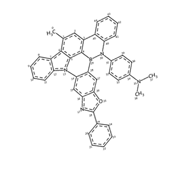 Cc1cc2c3c4c1c1ccccc1n4-c1cc4nc(-c5ccccc5)oc4cc1B3N(c1ccc(N(C)C)cc1)c1ccccc1-2